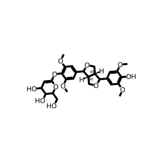 COc1cc(C2OC[C@@H]3C(c4cc(OC)c(OC5=CC(O)C(O)C(CO)O5)c(OC)c4)OC[C@H]23)cc(OC)c1O